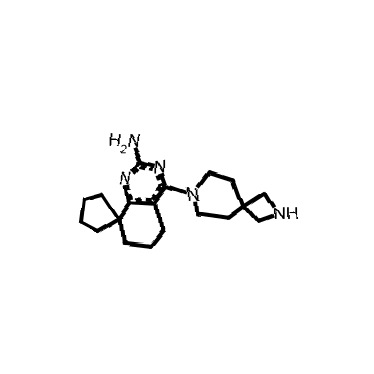 Nc1nc(N2CCC3(CC2)CNC3)c2c(n1)C1(CCCC1)CCC2